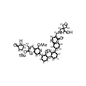 COc1nc(-c2cccc(-c3cccc(-c4ccn5c(=O)c(CNCC6(CO)COC6)cnc5c4)c3Cl)c2Cl)ccc1CN(C[C@@H]1CCC(=O)N1)C(=O)OC(C)(C)C